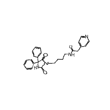 O=C(Cc1ccncc1)NCCCCN1C(=O)NC(c2ccccc2)(c2ccccc2)C1=O